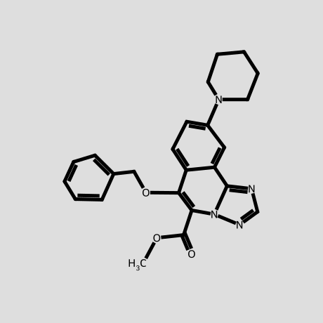 COC(=O)c1c(OCc2ccccc2)c2ccc(N3CCCCC3)cc2c2ncnn12